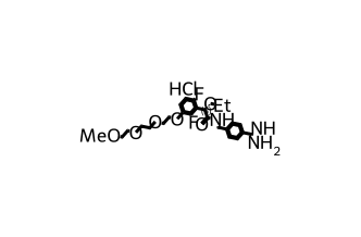 CCO[C@H](C(=O)NCc1ccc(C(=N)N)cc1)c1c(F)ccc(OCCOCCOCCOC)c1F.Cl